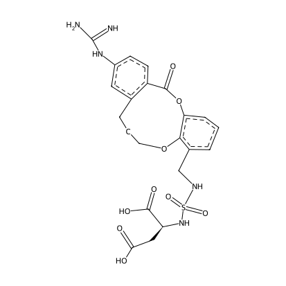 N=C(N)Nc1ccc2c(c1)CCCOc1c(CNS(=O)(=O)N[C@@H](CC(=O)O)C(=O)O)cccc1OC2=O